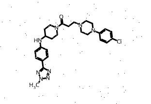 Cn1nnc(-c2ccc(NC3CCN(C(=O)CCN4CCN(c5ccc(Cl)cc5)CC4)CC3)cc2)n1